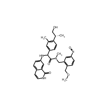 COCc1ccc(N=O)cc1CN(C)C(=O)C(Nc1ccc2cc[nH]c(=O)c2c1)c1ccc([C@@H](C)CO)c(C)c1